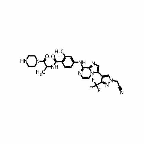 Cc1cc(Nc2nccn3c(-c4cn(CC#N)nc4C(F)(F)F)cnc23)ccc1C(=O)NC(C)C(=O)N1CCNCC1